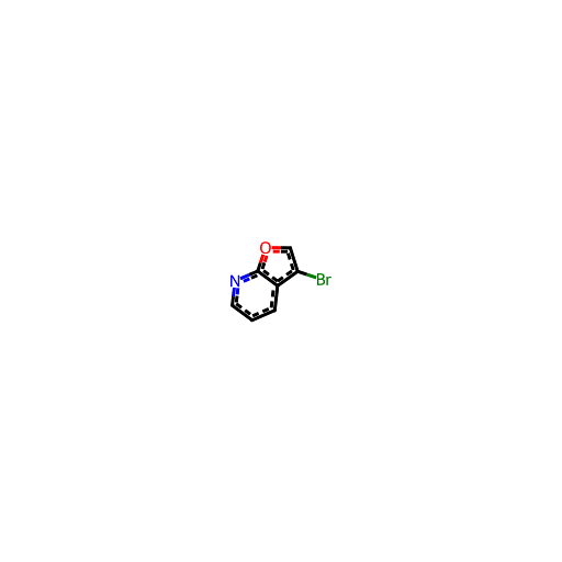 Brc1coc2ncccc12